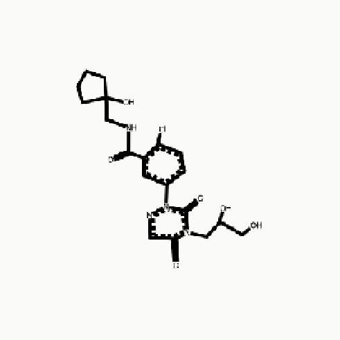 O=C(NCC1(O)CCCC1)c1cc(-n2ncc(=O)n(CC(O)CO)c2=O)ccc1Cl